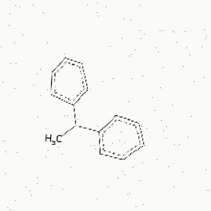 CC(c1[c]cccc1)c1ccccc1